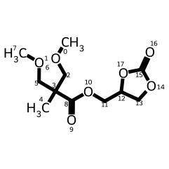 COCC(C)(COC)C(=O)OCC1COC(=O)O1